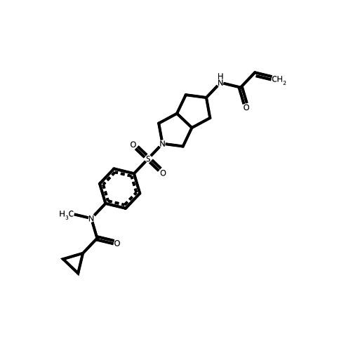 C=CC(=O)NC1CC2CN(S(=O)(=O)c3ccc(N(C)C(=O)C4CC4)cc3)CC2C1